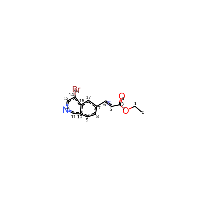 CCOC(=O)/C=C/c1ccc2cncc(Br)c2c1